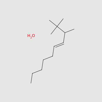 CCCCCC=CC(C)C(C)(C)C.O